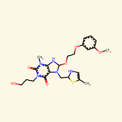 CC1=CNC(CN2c3c(n(C)c(=O)n(CCCO)c3=O)NC2OCCOc2cccc(OC(F)(F)F)c2)S1